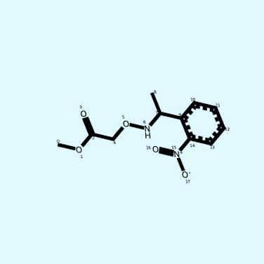 COC(=O)CONC(C)c1ccccc1[N+](=O)[O-]